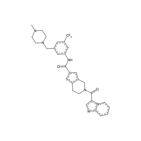 CN1CCN(Cc2cc(NC(=O)c3cc4c(s3)CCN(C(=O)c3cnc5ccccn35)C4)cc(C(F)(F)F)c2)CC1